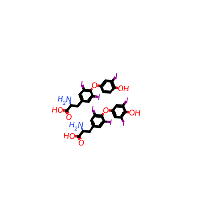 N[C@@H](Cc1cc(I)c(Oc2cc(I)c(O)c(I)c2)c(I)c1)C(=O)O.N[C@@H](Cc1cc(I)c(Oc2ccc(O)c(I)c2)c(I)c1)C(=O)O